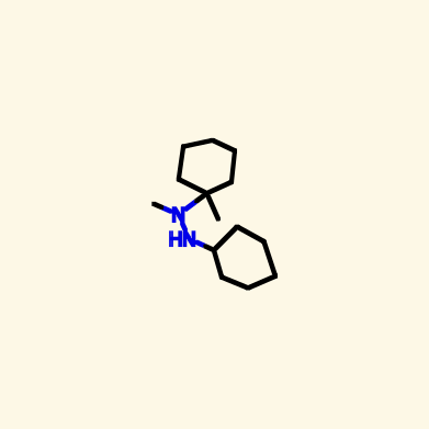 CN(NC1CCCCC1)C1(C)CCCCC1